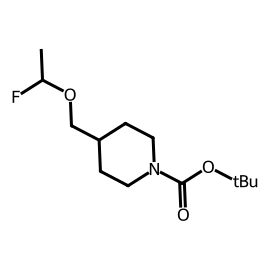 CC(F)OCC1CCN(C(=O)OC(C)(C)C)CC1